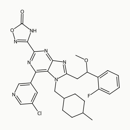 COC(Cc1nc2nc(-c3noc(=O)[nH]3)nc(-c3cncc(Cl)c3)c2n1CC1CCC(C)CC1)c1ccccc1F